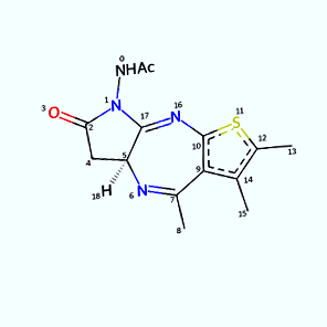 CC(=O)NN1C(=O)C[C@@H]2N=C(C)c3c(sc(C)c3C)N=C21